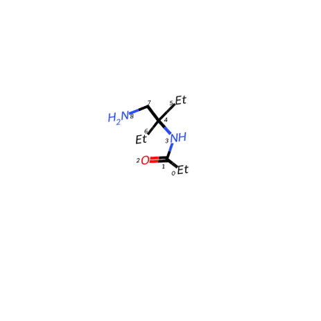 CCC(=O)NC(CC)(CC)CN